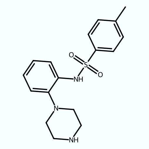 Cc1ccc(S(=O)(=O)Nc2ccccc2N2CCNCC2)cc1